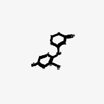 O=C1C=C(Nc2ncc(Br)cc2Br)CCC1